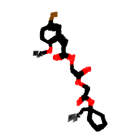 CCC1(OC(=O)COC(=O)COC(=O)Cc2cc(S)ccc2OC)CCCC1